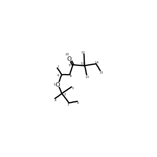 CCC(C)(C)OC(C)CC(=O)C(C)(C)CC